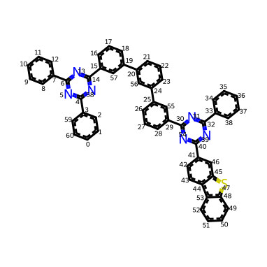 c1ccc(-c2nc(-c3ccccc3)nc(-c3cccc(-c4cccc(-c5cccc(-c6nc(-c7ccccc7)nc(-c7ccc8c(c7)sc7ccccc78)n6)c5)c4)c3)n2)cc1